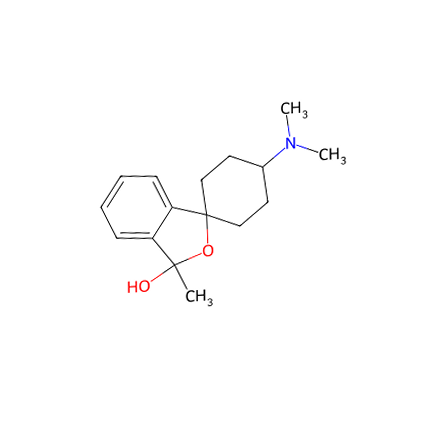 CN(C)C1CCC2(CC1)OC(C)(O)c1ccccc12